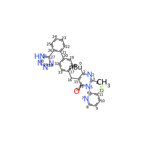 CCCCc1nc(C)n(-c2ncccc2F)c(=O)c1Cc1ccc(-c2ccccc2-c2nnn[nH]2)cc1